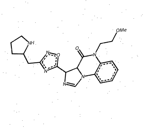 COCCN1C(=O)C2C(c3nc(CC4CCCN4)no3)N=CN2c2ccccc21